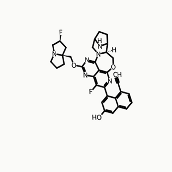 C#Cc1cccc2cc(O)cc(-c3nc4c5c(nc(OC[C@@]67CCCN6C[C@@H](F)C7)nc5c3F)N3CC5CCC(N5)[C@H]3CO4)c12